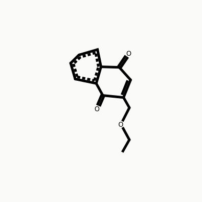 CCOCC1=CC(=O)c2ccccc2C1=O